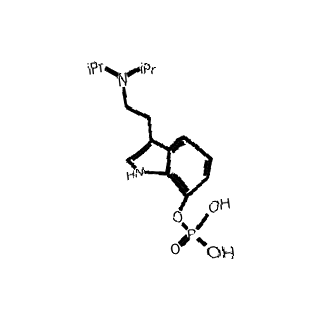 CC(C)N(CCc1c[nH]c2c(OP(=O)(O)O)cccc12)C(C)C